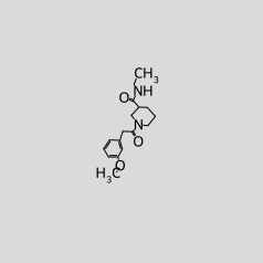 CCNC(=O)C1CCCN(C(=O)Cc2cccc(OC)c2)C1